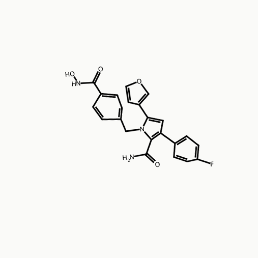 NC(=O)c1c(-c2ccc(F)cc2)cc(-c2ccoc2)n1Cc1ccc(C(=O)NO)cc1